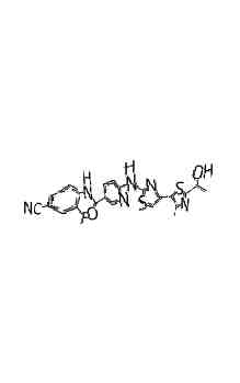 Cc1nc(C(C)O)sc1-c1csc(Nc2ccc(C(=O)Nc3ccc(C#N)cc3F)cn2)n1